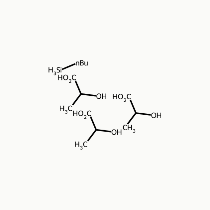 CC(O)C(=O)O.CC(O)C(=O)O.CC(O)C(=O)O.CCCC[SiH3]